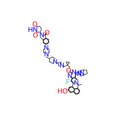 CCc1cccc2cc(O)cc(-c3ncc4c(N5CC6CCC(C5)N6)nc(OCC5(CN6CC(N7CCC(CN8CCN(c9ccc%10c(c9)CN(C9CCC(=O)NC9=O)C%10=O)CC8)CC7)C6)CC5)nc4c3F)c12